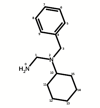 NCN(Cc1ccccc1)C1CCCCC1